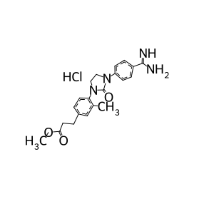 COC(=O)CCc1ccc(N2CCN(c3ccc(C(=N)N)cc3)C2=O)c(C)c1.Cl